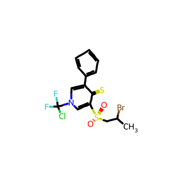 CC(Br)CS(=O)(=O)c1cn(C(F)(F)Cl)cc(-c2ccccc2)c1=S